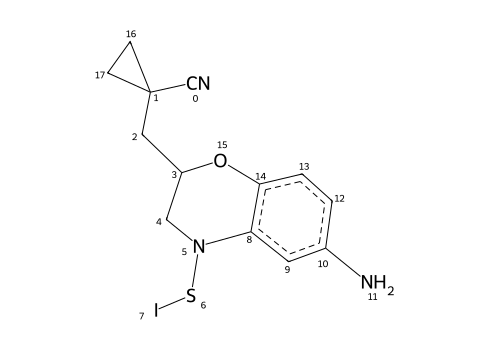 N#CC1(CC2CN(SI)c3cc(N)ccc3O2)CC1